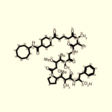 CCC(C)C(C(CC(=O)N1CCCC1C(OC)C(C)C(=O)NC(Cc1ccccc1)C(=O)O)OC)N(C)C(=O)CNC(=O)C(C(C)C)N(C)C(=O)CCCC(=O)N1CCC(C(=O)NC2CCCCCCC2)CC1